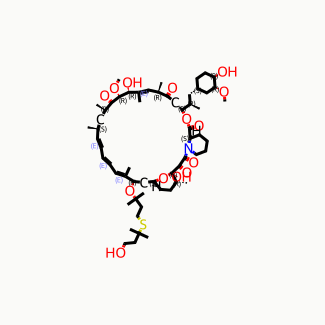 CO[C@@H]1C[C@H](C[C@@H](C)[C@@H]2CC(=O)[C@H](C)/C=C(\C)[C@@H](O)[C@@H](OC)C(=O)[C@H](C)C[C@H](C)/C=C/C=C/C=C(\C)[C@H](OC(C)(C)CCSC(C)(C)CCO)C[C@@H]3CC[C@@H](C)[C@@](O)(O3)C(=O)C(=O)N3CCCC[C@H]3C(=O)O2)CC[C@H]1O